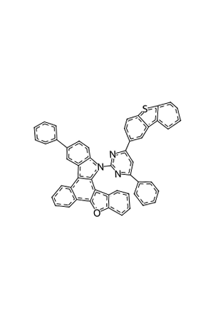 c1ccc(-c2ccc3c(c2)c2c4ccccc4c4oc5ccccc5c4c2n3-c2nc(-c3ccccc3)cc(-c3ccc4sc5ccccc5c4c3)n2)cc1